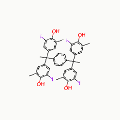 Cc1cc(C(C)(c2ccc(C(C)(c3cc(C)c(O)c(I)c3)c3cc(C)c(O)c(I)c3)cc2)c2cc(C)c(O)c(I)c2)cc(I)c1O